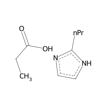 CCC(=O)O.CCCc1ncc[nH]1